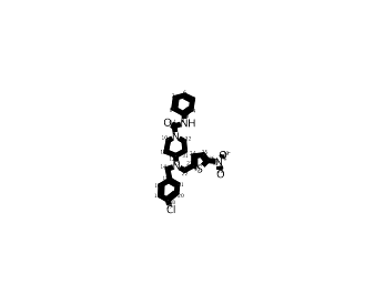 O=C(Nc1ccccc1)N1CCC(N(Cc2ccc(Cl)cc2)Cc2ccc([N+](=O)[O-])s2)CC1